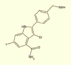 CCc1c(-c2ccc(CNC)cc2)[nH]c2cc(F)cc(C(N)=O)c12